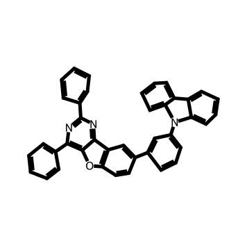 c1ccc(-c2nc(-c3ccccc3)c3oc4ccc(-c5cccc(-n6c7ccccc7c7ccccc76)c5)cc4c3n2)cc1